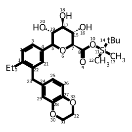 CCc1ccc(C2O[C@H](C(=O)O[Si](C)(C)C(C)(C)C)[C@@H](O)[C@H](O)[C@H]2O)cc1Cc1ccc2c(c1)OCCO2